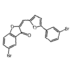 O=C1C(=Cc2ccc(-c3cccc(Br)c3)o2)Oc2ccc(Br)cc21